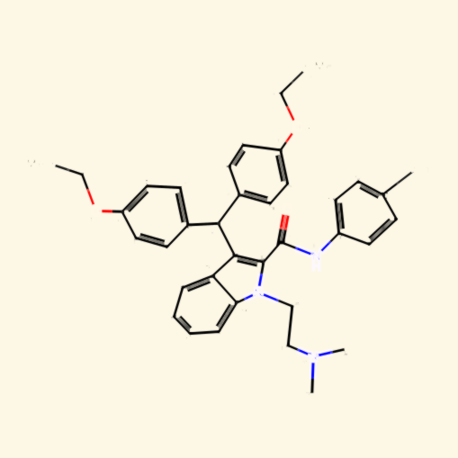 CCCc1ccc(NC(=O)c2c(C(c3ccc(OCOC)cc3)c3ccc(OCOC)cc3)c3ccccc3n2CCN(C)C)cc1